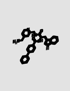 NCc1ccnc(CNC(=O)C(Cc2c[nH]c3ccccc23)NC(=O)c2ccc(-c3ccccc3)cc2)c1